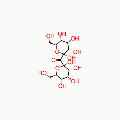 O=C(C1(O)O[C@H](CO)[C@@H](O)[C@H](O)[C@H]1O)C1(O)O[C@@H](CO)[C@H](O)[C@@H](O)[C@@H]1O